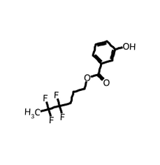 CC(F)(F)C(F)(F)CCCOC(=O)c1cccc(O)c1